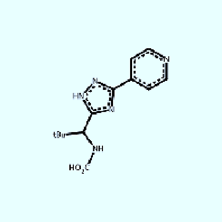 CC(C)(C)C(NC(=O)O)c1nc(-c2ccncc2)n[nH]1